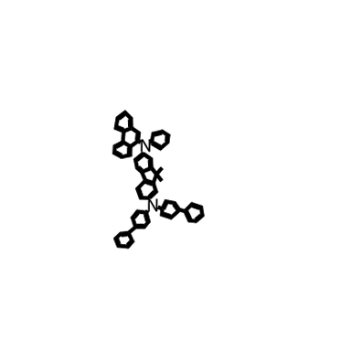 CC1(C)c2cc(N(c3ccc(-c4ccccc4)cc3)c3ccc(-c4ccccc4)cc3)ccc2-c2ccc(N(c3ccccc3)c3cc4ccccc4c4ccccc34)cc21